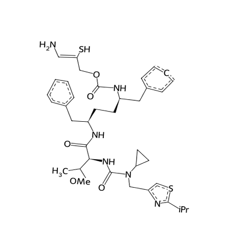 COC(C)[C@H](NC(=O)N(Cc1csc(C(C)C)n1)C1CC1)C(=O)N[C@H](CC[C@H](Cc1ccccc1)NC(=O)OC/C(S)=C/N)Cc1ccccc1